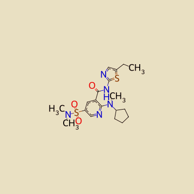 CCc1cnc(NC(=O)c2cc(S(=O)(=O)N(C)C)cnc2N(C)C2CCCC2)s1